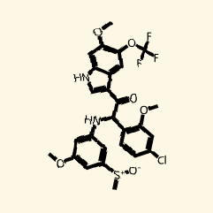 COc1cc(NC(C(=O)c2c[nH]c3cc(OC)c(OC(F)(F)F)cc23)c2ccc(Cl)cc2OC)cc([S+](C)[O-])c1